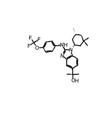 C[C@H]1C[C@@H](n2c(Nc3ccc(OC(F)(F)F)cc3)nc3cc(C(C)(C)O)ccc32)CC(C)(C)C1